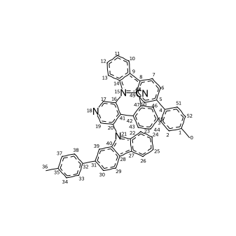 Cc1ccc(-c2ccc3c4ccccc4n(-c4cncc(-n5c6ccccc6c6ccc(-c7ccc(C)cc7)cc65)c4-c4ccccc4C#N)c3c2)cc1